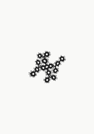 c1ccc(-c2ccc(N(c3ccccc3)c3ccc4c(-c5ccc(N(c6ccccc6)c6ccccc6)cc5)c5cc(N(c6ccccc6)c6ccc(-c7ccccc7)cc6)ccc5c(-c5ccc(N(c6ccccc6)c6ccccc6)cc5)c4c3)cc2)cc1